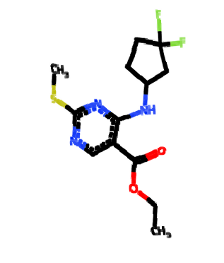 CCOC(=O)c1cnc(SC)nc1NC1CCC(F)(F)C1